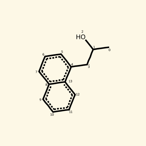 CC(O)[CH]c1cccc2ccccc12